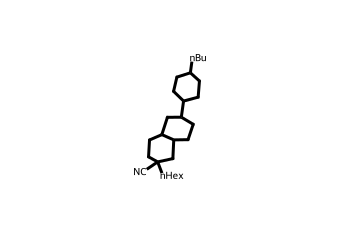 CCCCCCC1(C#N)CCC2CC(C3CCC(CCCC)CC3)CCC2C1